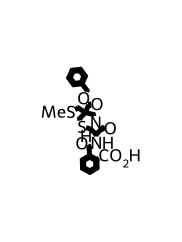 CSCC1(C(=O)OCc2ccccc2)CS[C@@H]2C(NC(=O)c3ccccc3C(=O)O)C(=O)N2C1